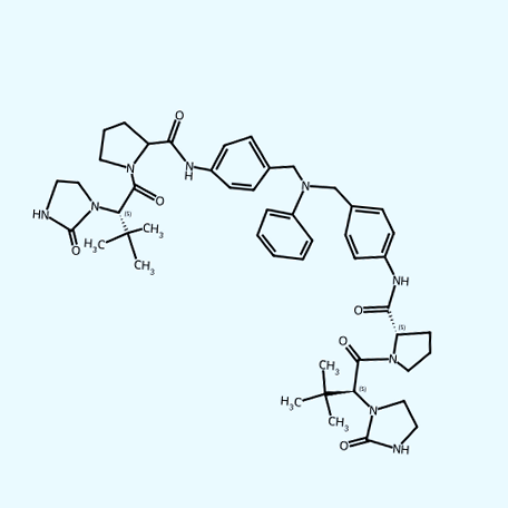 CC(C)(C)[C@@H](C(=O)N1CCCC1C(=O)Nc1ccc(CN(Cc2ccc(NC(=O)[C@@H]3CCCN3C(=O)[C@@H](N3CCNC3=O)C(C)(C)C)cc2)c2ccccc2)cc1)N1CCNC1=O